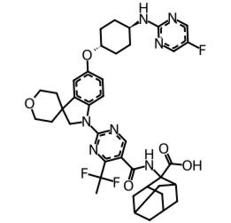 CC(F)(F)c1nc(N2CC3(CCOCC3)c3cc(O[C@H]4CC[C@H](Nc5ncc(F)cn5)CC4)ccc32)ncc1C(=O)NC1(C(=O)O)C2CC3CC(C2)CC1C3